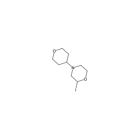 IC1CN(C2CCOCC2)CCO1